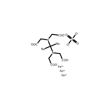 O=C([O-])CN(CC(=O)[O-])[C]([Na])([Na])N(CC(=O)[O-])CC(=O)[O-].O=S(=O)([O-])[O-].[Fe+2].[Fe+2].[Fe+2]